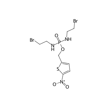 O=[N+]([O-])c1ccc(COP(=O)(NCCBr)NCCBr)s1